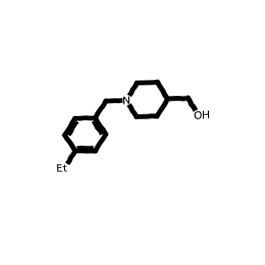 CCc1ccc(CN2CCC(CO)CC2)cc1